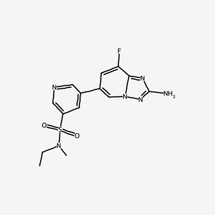 CCN(C)S(=O)(=O)c1cncc(-c2cc(F)c3nc(N)nn3c2)c1